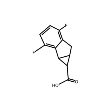 O=C(O)C1C2Cc3c(F)ccc(F)c3C21